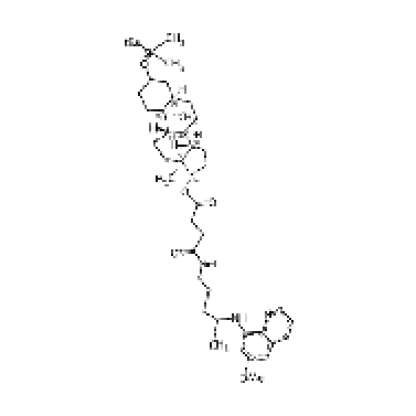 COc1cc(NC(C)CCCNC(=O)CCC(=O)O[C@H]2CC[C@H]3[C@@H]4CC[C@@H]5CC(O[Si](C)(C)C(C)(C)C)CC[C@]5(C)[C@H]4CC[C@]23C)c2ncccc2c1